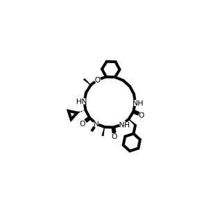 C[C@@H]1CN[C@@H](C2CC2)C(=O)N(C)[C@H](C)C(=O)N[C@H](CC2CCCCC2)C(=O)NCCCC2CCCCC2O1